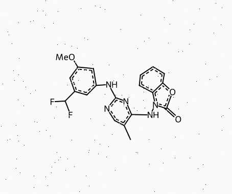 COc1cc(Nc2ncc(C)c(Nn3c(=O)oc4ccccc43)n2)cc(C(F)F)c1